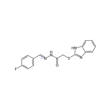 O=C(CSc1nc2ccccc2[nH]1)N/N=C/c1ccc(F)cc1